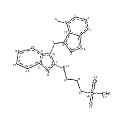 Cc1cccc2scc(Cc3c(SCCCS(=O)(=O)O)nc4ccccn34)c12